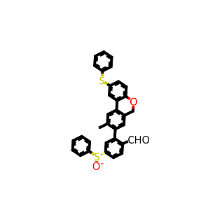 Cc1cc2c(cc1-c1cc([S+]([O-])c3ccccc3)ccc1C=O)COc1ccc(Sc3ccccc3)cc1-2